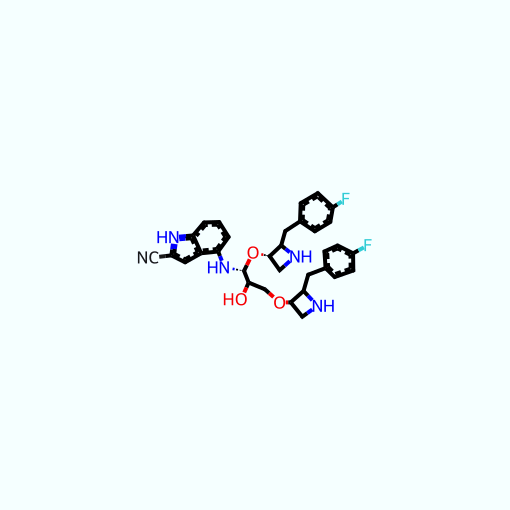 N#Cc1cc2c(N[C@H](O[C@H]3CNC3Cc3ccc(F)cc3)C(O)COC3CNC3Cc3ccc(F)cc3)cccc2[nH]1